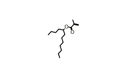 C=C(C)C(=O)OC(CCCC)CCCCCCC